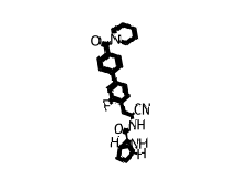 N#C[C@H](Cc1ccc(-c2ccc(C(=O)N3CCCCC3)cc2)cc1F)NC(=O)[C@H]1N[C@@H]2CC[C@H]1C2